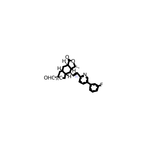 C[C@H]1OC(=O)[C@@H]2C[C@@H]3C[C@H](C=O)CC[C@H]3[C@H](/C=C/c3ccc(-c4cccc(F)c4)cn3)[C@H]12